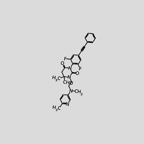 Cc1ccc(N(C)CCN2C(=O)N(c3c(F)cc(C#Cc4ccccc4)cc3F)C(=O)CC2(C)C=O)cn1